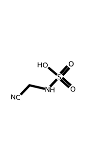 N#CCNS(=O)(=O)O